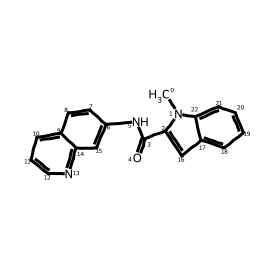 Cn1c(C(=O)Nc2ccc3cccnc3c2)cc2ccccc21